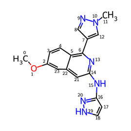 COc1ccc2c(-c3cnn(C)c3)nc(Nc3cc[nH]n3)cc2c1